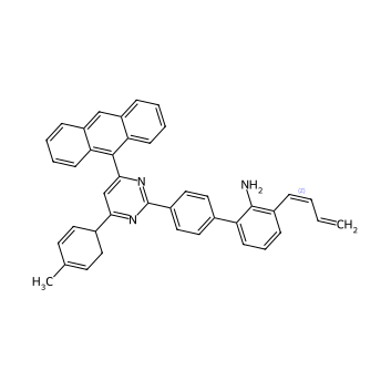 C=C/C=C\c1cccc(-c2ccc(-c3nc(-c4c5ccccc5cc5ccccc45)cc(C4C=CC(C)=CC4)n3)cc2)c1N